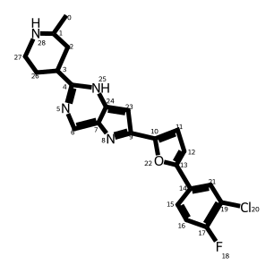 CC1CC(c2ncc3nc(-c4ccc(-c5ccc(F)c(Cl)c5)o4)cc-3[nH]2)CCN1